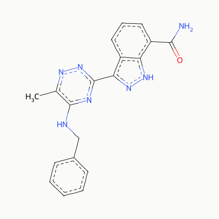 Cc1nnc(-c2n[nH]c3c(C(N)=O)cccc23)nc1NCc1ccccc1